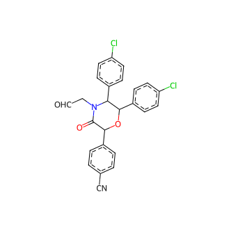 N#Cc1ccc(C2OC(c3ccc(Cl)cc3)C(c3ccc(Cl)cc3)N(CC=O)C2=O)cc1